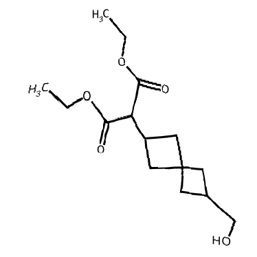 CCOC(=O)C(C(=O)OCC)C1CC2(CC(CO)C2)C1